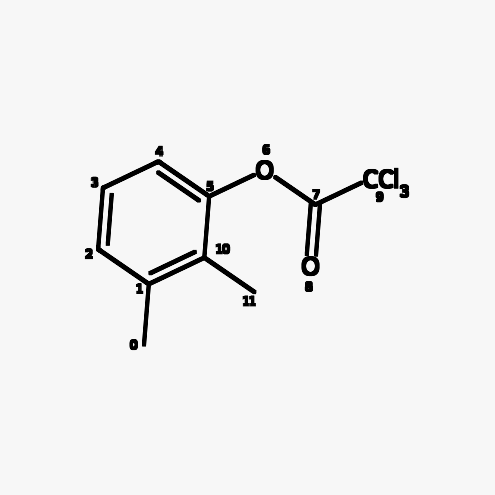 Cc1cccc(OC(=O)C(Cl)(Cl)Cl)c1C